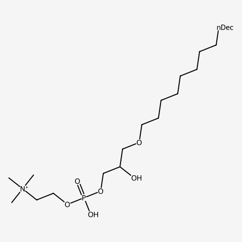 CCCCCCCCCCCCCCCCCCOCC(O)COP(=O)(O)OCC[N+](C)(C)C